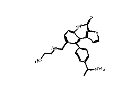 CC(N)c1ccc(-c2c(CNCCO)ccc3[nH]c(=O)c4sccc4c23)cc1